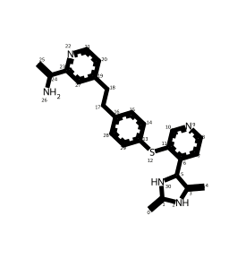 C=C1NC(=C)C(c2ccncc2Sc2ccc(CCc3ccnc(C(=C)N)c3)cc2)N1